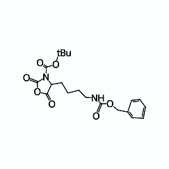 CC(C)(C)OC(=O)N1C(=O)OC(=O)C1CCCCNC(=O)OCc1ccccc1